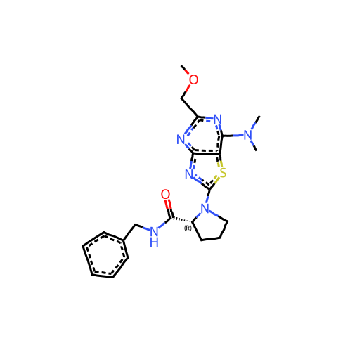 COCc1nc(N(C)C)c2sc(N3CCC[C@@H]3C(=O)NCc3ccccc3)nc2n1